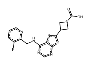 O=C(O)N1CC(c2nc3c(NCc4ncccc4F)ncnc3s2)C1